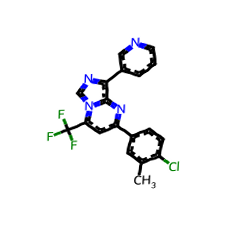 Cc1cc(-c2cc(C(F)(F)F)n3cnc(-c4cccnc4)c3n2)ccc1Cl